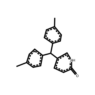 Cc1ccc(C(c2ccc(C)cc2)c2ccc(=O)[nH]c2)cc1